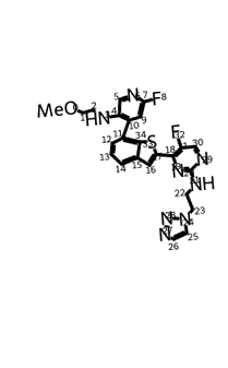 COCCNc1cnc(F)cc1-c1cccc2cc(-c3nc(NCCn4ccnn4)ncc3F)sc12